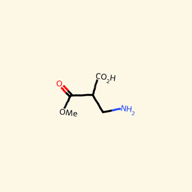 COC(=O)C(CN)C(=O)O